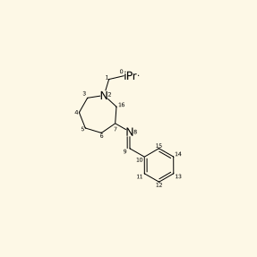 C[C](C)CN1CCCCC(N=Cc2ccccc2)C1